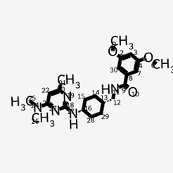 COc1cc(OC)cc(C(=O)NC[C@H]2CC[C@@H](Nc3nc(C)cc(N(C)C)n3)CC2)c1